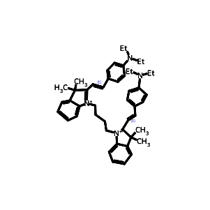 CCN(CC)c1ccc(/C=C/C2=[N+](CCCC[N+]3=C(/C=C/c4ccc(N(CC)CC)cc4)C(C)(C)c4ccccc43)c3ccccc3C2(C)C)cc1